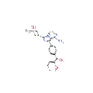 CC1(O)CC(c2nc(-c3ccc(C(=O)C4CCCCO4)cc3)c3c(N)nccn23)C1